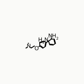 CN(C)CCOc1ccc(C2(N)C=CC=CC2N)cc1